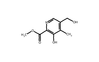 COC(=O)c1ncc(CO)c(C)c1O